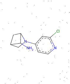 NC1C2CC1N(c1ccnc(Cl)c1)C2